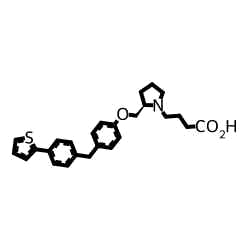 O=C(O)CCCN1CCC[C@@H]1COc1ccc(Cc2ccc(-c3cccs3)cc2)cc1